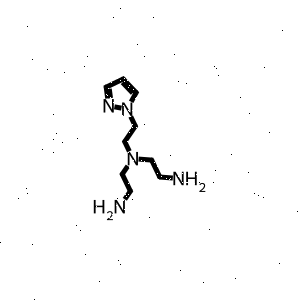 NCCN(CCN)CCn1cccn1